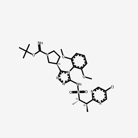 COc1cccc(OC)c1-n1c(NS(=O)(=O)[C@@H](C)[C@H](C)c2ncc(Cl)cn2)nnc1[C@@H]1CCN(C(=N)OC(C)(C)C)C1